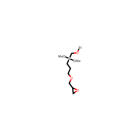 CCOC[Si](CCCOCC1CO1)(OC)OC